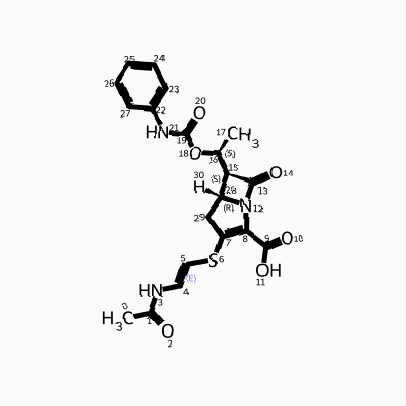 CC(=O)N/C=C/SC1=C(C(=O)O)N2C(=O)[C@H]([C@H](C)OC(=O)Nc3ccccc3)[C@H]2C1